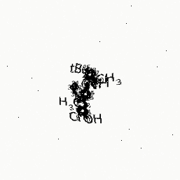 Cc1c(Cc2ccc(Cl)c(O)c2)c2ccc(C(=O)N[C@@H](C)c3ccc(C(C)(C)C)cc3)cc2n1CC1CCC1